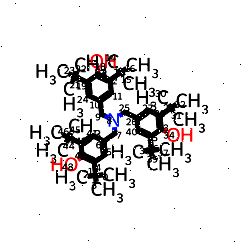 CC(C)(C)c1cc(CN(Cc2cc(C(C)(C)C)c(O)c(C(C)(C)C)c2)Cc2cc(C(C)(C)C)c(O)c(C(C)(C)C)c2)cc(C(C)(C)C)c1O